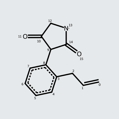 C=CCc1ccccc1C1C(=O)C[N]C1=O